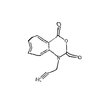 C#CCn1c(=O)oc(=O)c2ccccc21